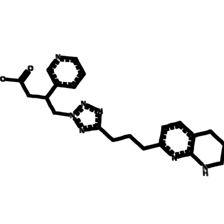 O=C(O)CC(Cn1nnc(CCCc2ccc3c(n2)NCCC3)n1)c1cccnc1